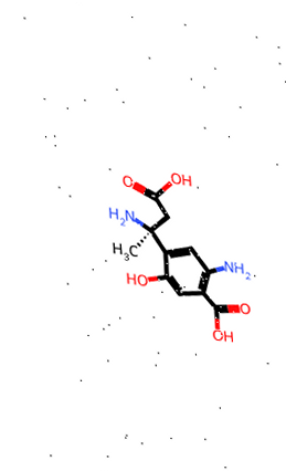 C[C@](N)(CC(=O)O)c1cc(N)c(C(=O)O)cc1O